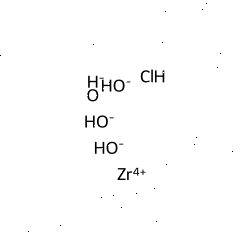 Cl.[OH-].[OH-].[OH-].[OH-].[Zr+4]